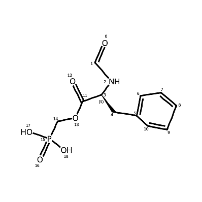 O=CN[C@@H](Cc1ccccc1)C(=O)OCP(=O)(O)O